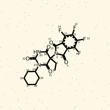 CCC1(N2C(=O)c3c(F)c(F)c(F)c(F)c3C2=O)C(=O)NC(=O)N(C2CCCCC2)C1=O